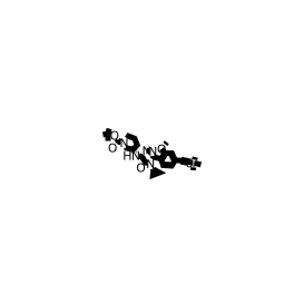 COc1cc(C#C[Si](C)(C)C)ccc1-c1nnc(N[C@@H]2CCCN(C(=O)OC(C)(C)C)C2)c(=O)n1C1CC1